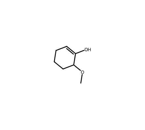 COC1CCCC=C1O